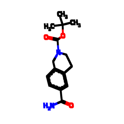 CC(C)(C)OC(=O)N1CCc2cc(C(N)=O)ccc2C1